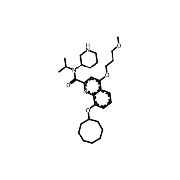 COCCCOc1cc(C(=O)N(C(C)C)[C@@H]2CCCNC2)nc2c(OC3CCCCCCC3)cccc12